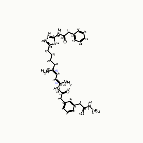 CCCCNC(=O)Cc1cccc(CC(=O)N/C(N)=C/C=C(\N)CCCCc2nnc(NC(=O)Cc3ccccc3)s2)c1